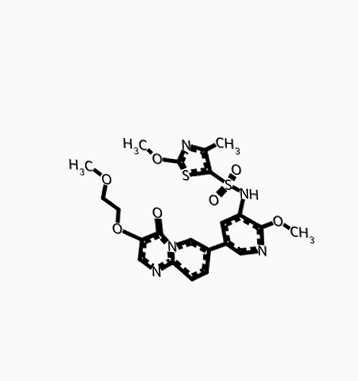 COCCOc1cnc2ccc(-c3cnc(OC)c(NS(=O)(=O)c4sc(OC)nc4C)c3)cn2c1=O